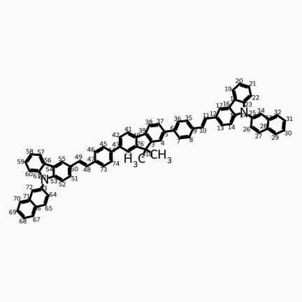 CC1(C)c2cc(-c3ccc(/C=C/c4ccc5c(c4)c4ccccc4n5-c4ccc5ccccc5c4)cc3)ccc2-c2ccc(-c3ccc(/C=C/c4ccc5c(c4)c4ccccc4n5-c4ccc5ccccc5c4)cc3)cc21